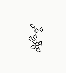 C1=CC(c2ccccc2)(c2ccc(-c3nc(-c4ccccc4)nc(-c4ccccc4)n3)cc2)Oc2c1c1c(c3ccccc23)-c2ccccc2C12CCCCC2